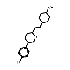 CCCC1CCC(CCC2CCC(c3ccc(CC)cc3)CO2)CC1